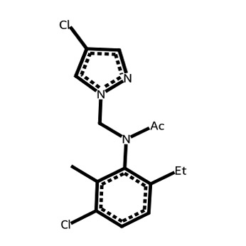 CCc1ccc(Cl)c(C)c1N(Cn1cc(Cl)cn1)C(C)=O